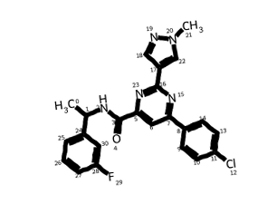 CC(NC(=O)c1cc(-c2ccc(Cl)cc2)nc(-c2cnn(C)c2)n1)c1cccc(F)c1